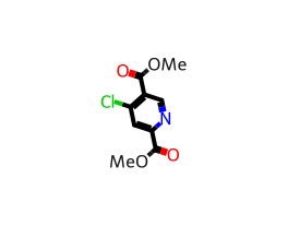 COC(=O)c1cc(Cl)c(C(=O)OC)cn1